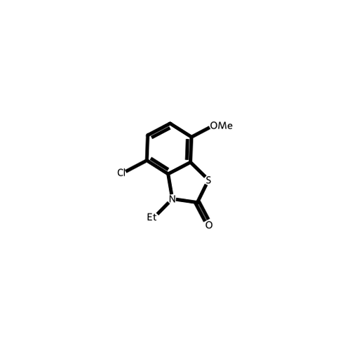 CCn1c(=O)sc2c(OC)ccc(Cl)c21